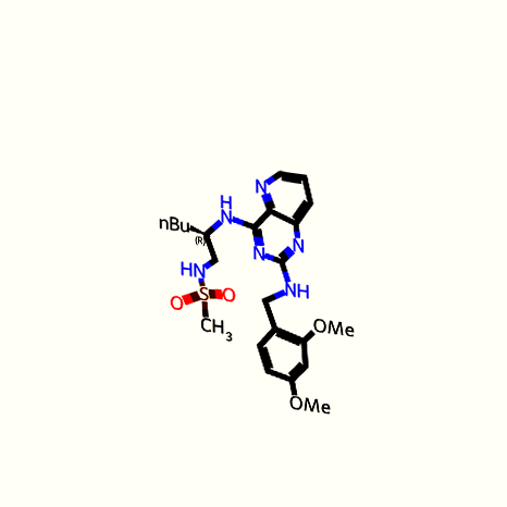 CCCC[C@H](CNS(C)(=O)=O)Nc1nc(NCc2ccc(OC)cc2OC)nc2cccnc12